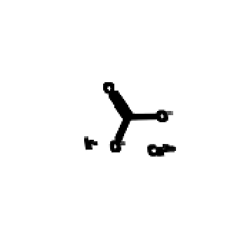 O=C([O-])[O-].[Ca+2].[Ir]